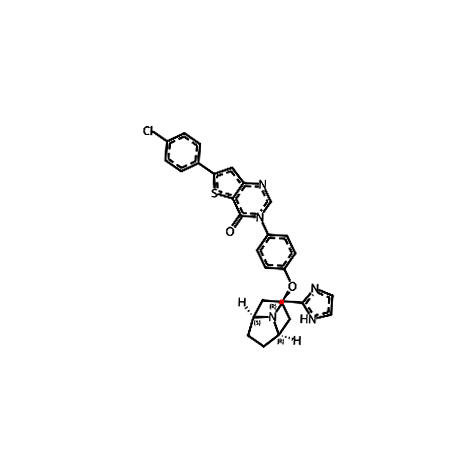 O=c1c2sc(-c3ccc(Cl)cc3)cc2ncn1-c1ccc(O[C@H]2C[C@H]3CC[C@@H](C2)N3Cc2ncc[nH]2)cc1